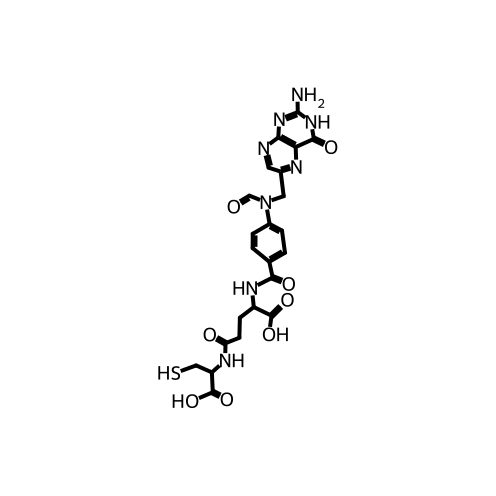 Nc1nc2ncc(CN(C=O)c3ccc(C(=O)NC(CCC(=O)NC(CS)C(=O)O)C(=O)O)cc3)nc2c(=O)[nH]1